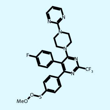 COOSc1ccc(-c2nc(C(F)(F)F)nc(N3CCN(c4ncccn4)CC3)c2-c2ccc(F)cc2)cc1